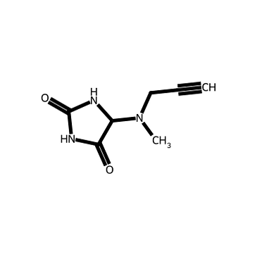 C#CCN(C)C1NC(=O)NC1=O